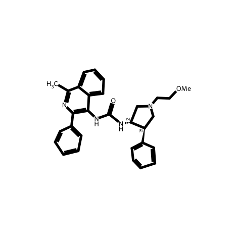 COCCN1C[C@@H](NC(=O)Nc2c(-c3ccccc3)nc(C)c3ccccc23)[C@H](c2ccccc2)C1